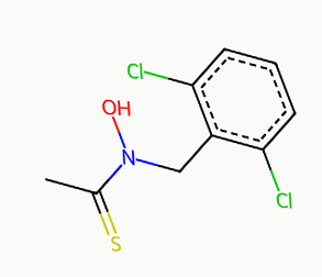 CC(=S)N(O)Cc1c(Cl)cccc1Cl